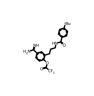 CC(C)(C)c1ccc(C(=O)NCCCc2cc(C(=N)N)ccc2OC(=O)C(F)(F)F)cc1